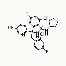 O=C(NC1CCCC1)NC(Cc1ccc(F)cc1Cl)(c1cc(F)cc(C(F)(F)F)c1)c1ccc(Cl)cn1